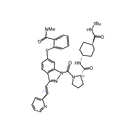 CNC(=O)c1ccccc1Sc1ccc2c(/C=C/c3ccccn3)nn(C(=O)N3CCC[C@H]3C(=O)N[C@H]3CC[C@H](C(=O)NC(C)(C)C)CC3)c2c1